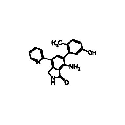 Cc1ccc(O)cc1-c1cc(-c2ccccn2)c2c(c1N)C(=O)NC2